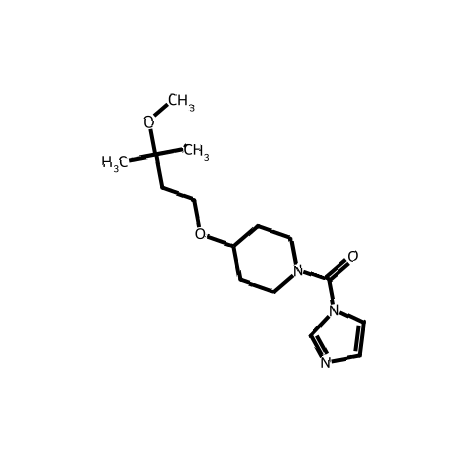 COC(C)(C)CCOC1CCN(C(=O)n2ccnc2)CC1